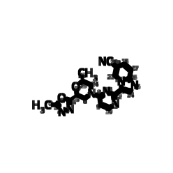 Cc1nnc([C@@H]2CN(c3ccnc(-c4cnc5ccc(C#N)cn45)n3)C[C@H](C)O2)o1